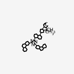 CC1(C)c2ccccc2-c2ccc(-c3cccc4c(-c5nc(-c6ccc7ccc8ccccc8c7c6)nc(-c6ccc7ccc8ccccc8c7c6)n5)cccc34)cc21